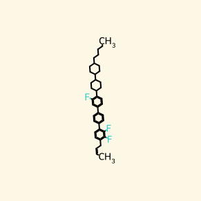 C/C=C\Cc1ccc(-c2ccc(-c3ccc(C4CCC(C5CCC(CCCCC)CC5)CC4)c(F)c3)cc2)c(F)c1F